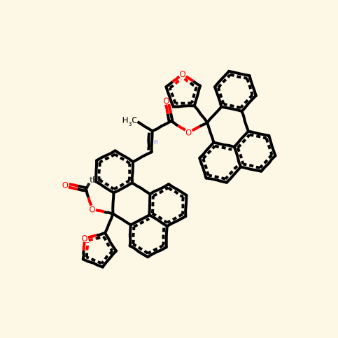 C/C(=C\c1cccc2c1-c1cccc3cccc(c13)C2(OC(=O)C(C)(C)C)c1ccco1)C(=O)OC1(c2ccoc2)c2ccccc2-c2cccc3cccc1c23